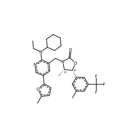 CCN(c1ncc(-c2ccc(C)o2)cc1CN1C(=O)O[C@H](c2cc(C)cc(C(F)(F)F)c2)[C@@H]1C)C1CCCCC1